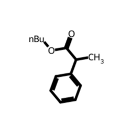 CCCCOC(=O)C(C)c1ccccc1